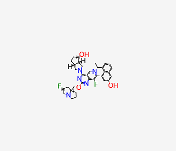 CCc1cccc2cc(O)cc(-c3ncc4c(N5C[C@@H]6CC[C@@H](O)[C@@H]6C5)nc(OC[C@@]56CCCN5C[C@H](F)C6)nc4c3F)c12